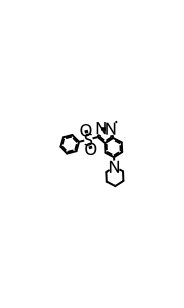 Cn1nc(S(=O)(=O)c2ccccc2)c2cc(N3CCCCC3)ccc21